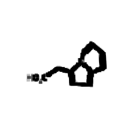 O=C(O)Cc1ccc2ccccn12